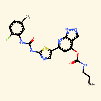 COCCNC(=O)Oc1cc(-c2cnc(NC(=O)Nc3cc(C(F)(F)F)ccc3F)s2)nc2[nH]ncc12